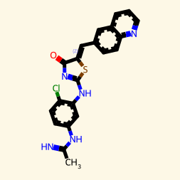 CC(=N)Nc1ccc(Cl)c(NC2=NC(=O)/C(=C/c3ccc4ncccc4c3)S2)c1